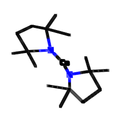 CC1(C)CCC(C)(C)[N]1[Co][N]1C(C)(C)CCC1(C)C